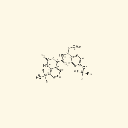 COCC(NC(=O)N1CC(=O)Nc2c(C(C)(C)O)ccnc21)c1ccc(OC(C)(F)F)cc1